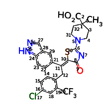 CC1(C(=O)O)CCN(C2=NC(=O)C(=C(Cc3ccc(Cl)cc3C(F)(F)F)c3ccc4[nH]ncc4c3)S2)CC1